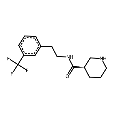 O=C(NCCc1cccc(C(F)(F)F)c1)[C@@H]1CCCNC1